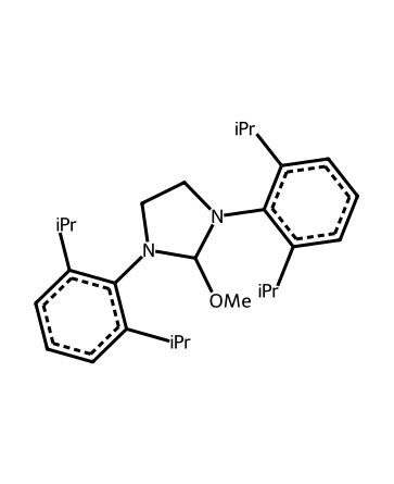 COC1N(c2c(C(C)C)cccc2C(C)C)CCN1c1c(C(C)C)cccc1C(C)C